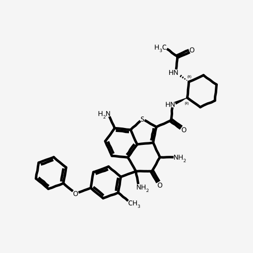 CC(=O)N[C@@H]1CCCC[C@H]1NC(=O)c1sc2c(N)ccc3c2c1C(N)C(=O)C3(N)c1ccc(Oc2ccccc2)cc1C